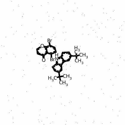 CC(C)(C)c1ccc2[nH]c3ccc(C(C)(C)C)cc3c2c1.O=c1ccoc2c(Br)ccc(Br)c12